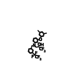 Cc1cc(C)cc(Oc2cccc(N(Cc3cccc(C(F)(F)C(F)(F)F)c3)CC(O)C(F)(F)F)c2)c1